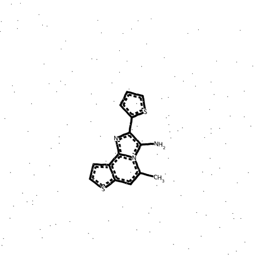 Cc1cc2sccc2c2nc(-c3cccs3)c(N)n12